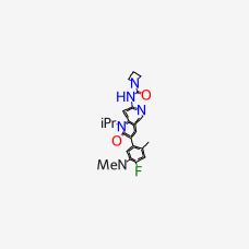 CNc1cc(-c2cc3cnc(NC(=O)N4CCC4)cc3n(C(C)C)c2=O)c(C)cc1F